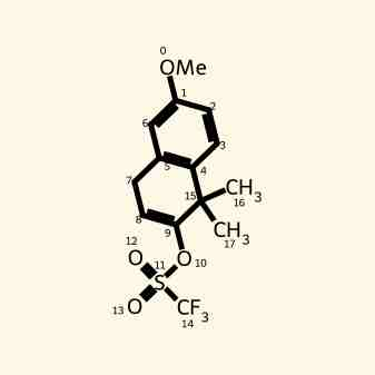 COc1ccc2c(c1)CC=C(OS(=O)(=O)C(F)(F)F)C2(C)C